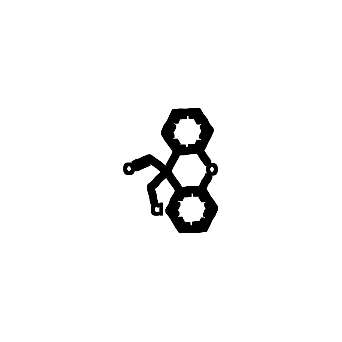 O=CC1(CCl)c2ccccc2Oc2ccccc21